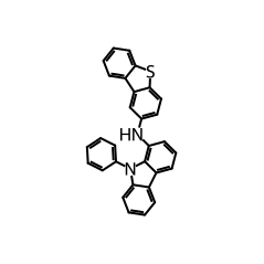 c1ccc(-n2c3ccccc3c3cccc(Nc4ccc5sc6ccccc6c5c4)c32)cc1